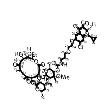 CC[C@H]1OC(=O)[C@H](C)[C@@H](OC2C[C@@](C)(OC)[C@@H](OC(=O)NCCCOCCOc3cc4c(=O)c(C(=O)O)cn(C5CC5)c4cc3Cl)[C@H](C)O2)[C@H](C)[C@@H](OC2O[C@H](C)C[C@H](N(C)C)[C@H]2O)[C@](C)(OC)C[C@@H](C)C(=O)[C@H](C)[C@@H](O)[C@]1(C)O